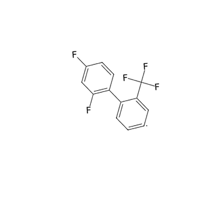 Fc1ccc(-c2cc[c]cc2C(F)(F)F)c(F)c1